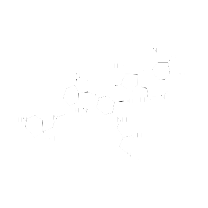 NCC(O)CN[C@@H]1C[C@H](N)[C@@H](O[C@H]2O[C@H](CNCC3(O)CCNCC3)CC[C@H]2N)[C@H](O[C@@H]2O[C@H](CO)[C@@H](O[C@H]3O[C@@H](CN)[C@@H](O)[C@H](O)[C@H]3N)[C@H]2O)[C@H]1O